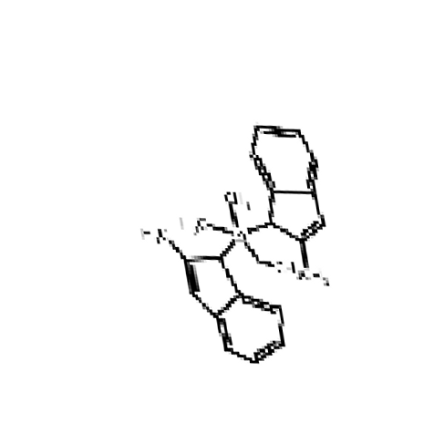 C[CH2][Zr]([CH3])([CH3])([CH]1C(C)=Cc2ccccc21)[CH]1C(C)=Cc2ccccc21